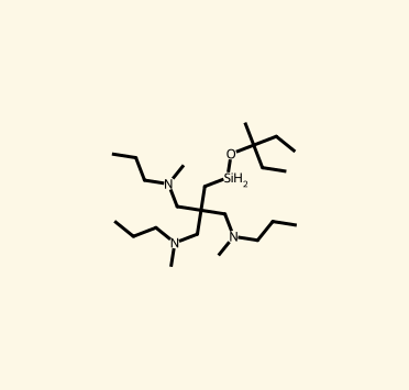 CCCN(C)CC(C[SiH2]OC(C)(CC)CC)(CN(C)CCC)CN(C)CCC